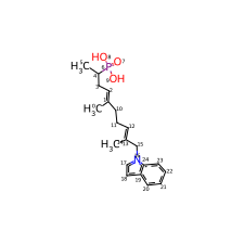 C/C(=C\CC(C)P(=O)(O)O)CC/C=C(\C)Cn1ccc2ccccc21